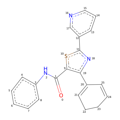 O=C(Nc1ccccc1)c1sc(-c2cccnc2)nc1C1=CCCC=C1